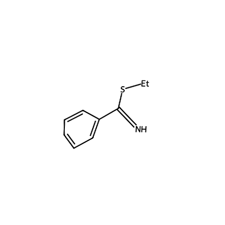 CCSC(=N)c1ccccc1